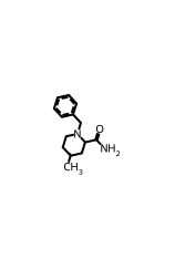 C[C]1CCN(Cc2ccccc2)C(C(N)=O)C1